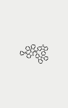 c1ccc(N(c2ccccc2)c2cccc3sc4c(N(c5ccc6c(c5)C(c5ccccc5)(c5ccccc5)c5ccccc5-6)c5ccc6sc7ccccc7c6c5)c5ccccc5cc4c23)cc1